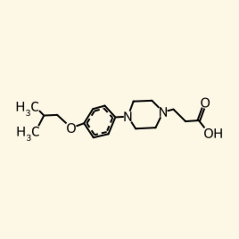 CC(C)COc1ccc(N2CCN(CCC(=O)O)CC2)cc1